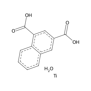 O.O=C(O)c1cc(C(=O)O)c2ccccc2c1.[Ti]